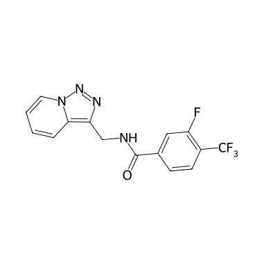 O=C(NCc1nnn2ccccc12)c1ccc(C(F)(F)F)c(F)c1